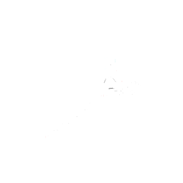 CC(C)(C)Oc1cc(OCCCCCCCCCCCO)ccc1OC(F)(F)F